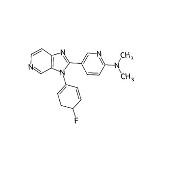 CN(C)c1ccc(-c2nc3ccncc3n2C2=CCC(F)C=C2)cn1